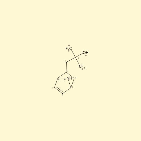 OC(CC1CC2C=CC1N2)(C(F)(F)F)C(F)(F)F